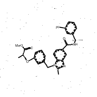 COC(=O)C(C)Oc1cccc(Cn2c(C)nc3cc(C(=O)N[C@@H](C)c4cccc(C(C)C)c4)ccc32)c1